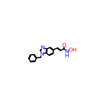 O=C(C=Cc1ccc2c(c1)ncn2Cc1ccccc1)NO